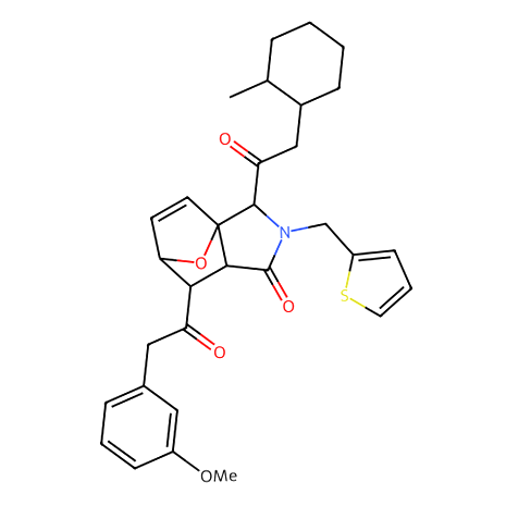 COc1cccc(CC(=O)C2C3C=CC4(O3)C2C(=O)N(Cc2cccs2)C4C(=O)CC2CCCCC2C)c1